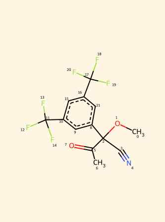 COC(C#N)(C(C)=O)c1cc(C(F)(F)F)cc(C(F)(F)F)c1